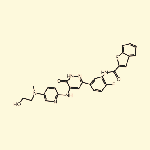 CN(CCO)c1ccc(Nc2cc(-c3ccc(F)c(NC(=O)c4cc5ccccc5s4)c3)n[nH]c2=O)nc1